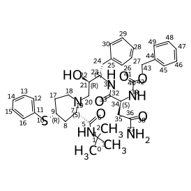 CC(C)(C)NC(=O)[C@@H]1C[C@H](Sc2ccccc2)CCN1C[C@@H](O)[C@H](Cc1ccccc1)NC(=O)[C@H](CC(N)=O)NC(=O)OCc1ccccc1